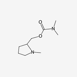 CN(C)C(=O)OCC1CCCN1C